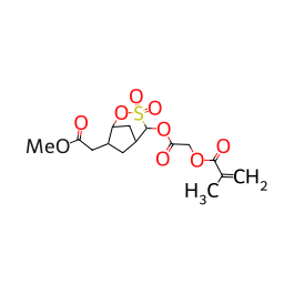 C=C(C)C(=O)OCC(=O)OC1C2CC(CC(=O)OC)C(C2)OS1(=O)=O